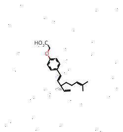 C=C[C@@](C)(/C=C/c1ccc(OCC(=O)O)cc1)CCC=C(C)C